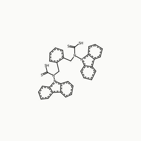 S=C(S)N(Cc1ccccc1CN(C(=S)S)n1c2ccccc2c2ccccc21)n1c2ccccc2c2ccccc21